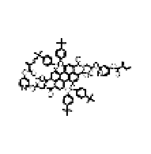 C=C(CC)C(=O)Oc1ccnc(OC(=O)CN2C(=O)c3cc(Oc4ccc(C(C)(C)C)cc4)c4c5c(Oc6ccc(C(C)(C)C)cc6)cc6c7c(cc(Oc8ccc(C(C)(C)C)cc8)c(c8c(Oc9ccc(C(C)(C)C)cc9)cc(c3c48)C2=O)c75)C(=O)N(CC(=O)Oc2cc(OC(=O)C(=C)CC)ccn2)C6=O)c1